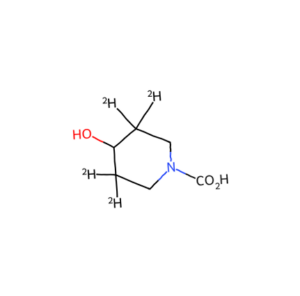 [2H]C1([2H])CN(C(=O)O)CC([2H])([2H])C1O